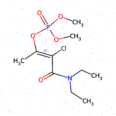 CCN(CC)C(=O)/C(Cl)=C(\C)OP(=O)(OC)OC